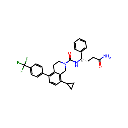 NC(=O)CC[C@H](NC(=O)N1CCc2c(-c3ccc(C(F)(F)F)cc3)ccc(C3CC3)c2C1)c1ccccc1